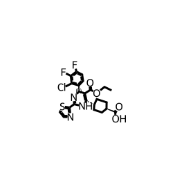 CCOC(=O)C1=C([C@H]2CC[C@H](C(=O)O)CC2)NC(c2nccs2)=N[C@H]1c1ccc(F)c(F)c1Cl